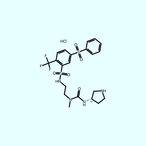 CN(CCNS(=O)(=O)c1cc(S(=O)(=O)c2ccccc2)ccc1C(F)(F)F)C(=O)N[C@H]1CCNC1.Cl